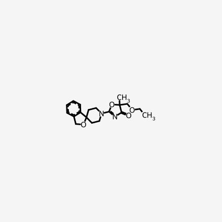 CCOCC1(C)OC(N2CCC3(CC2)OCc2ccccc23)=NC1=O